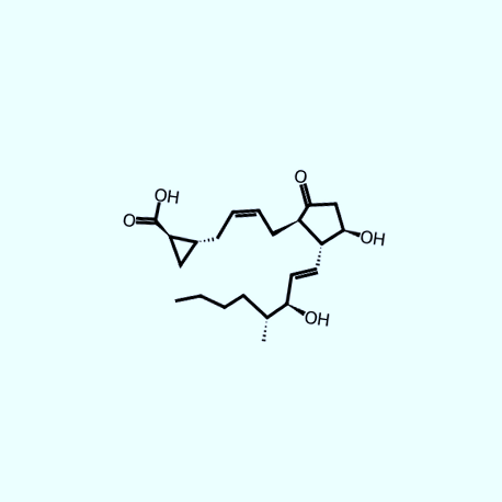 CCCC[C@@H](C)[C@H](O)/C=C/[C@H]1[C@H](O)CC(=O)[C@@H]1C/C=C\C[C@@H]1C[C@H]1C(=O)O